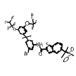 CC(C)(c1cc(Br)cc(NC(=O)c2cc3cc(C(C)(C)S(C)(=O)=O)ccc3s2)c1)c1cc(OC(F)(F)F)cc(OC(F)(F)C(F)F)c1